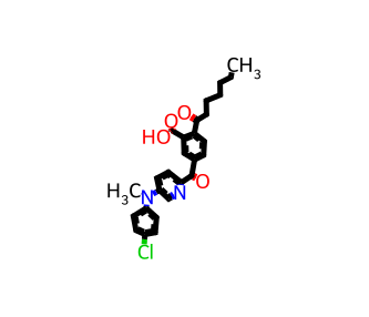 CCCCCCC(=O)c1ccc(C(=O)c2ccc(N(C)c3ccc(Cl)cc3)cn2)cc1C(=O)O